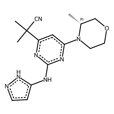 C[C@@H]1COCCN1c1cc(C(C)(C)C#N)nc(Nc2ccn[nH]2)n1